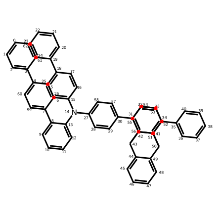 c1ccc(-c2ccc(-c3ccccc3N(c3ccc(-c4ccccc4)cc3)c3ccc(-c4ccc(-c5ccccc5)c5c4C4c6ccccc6C5c5ccccc54)cc3)cc2)cc1